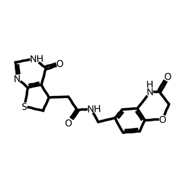 O=C(CC1CSc2nc[nH]c(=O)c21)NCc1ccc2c(c1)NC(=O)CO2